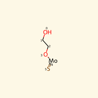 OCC[O][Mo]=[S]